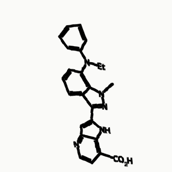 CCN(c1ccccc1)c1cccc2c(-c3cc4nccc(C(=O)O)c4[nH]3)nn(C)c12